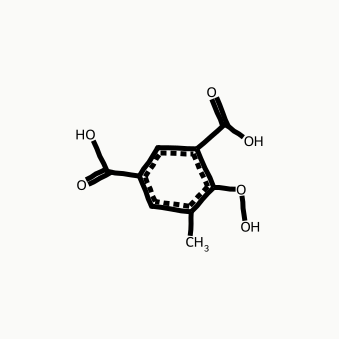 Cc1cc(C(=O)O)cc(C(=O)O)c1OO